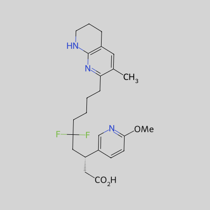 COc1ccc([C@H](CC(=O)O)CC(F)(F)CCCCc2nc3c(cc2C)CCCN3)cn1